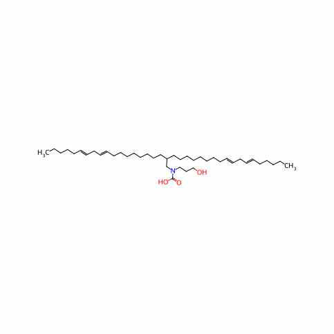 CCCCCC=CCC=CCCCCCCCCC(CCCCCCCCC=CCC=CCCCCC)CN(CCCO)C(=O)O